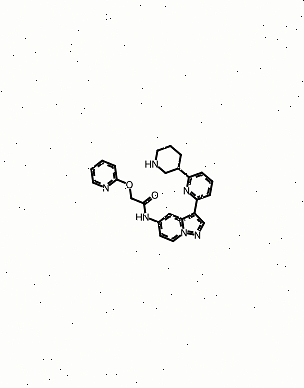 O=C(COc1ccccn1)Nc1ccn2ncc(-c3cccc(C4CCCNC4)n3)c2c1